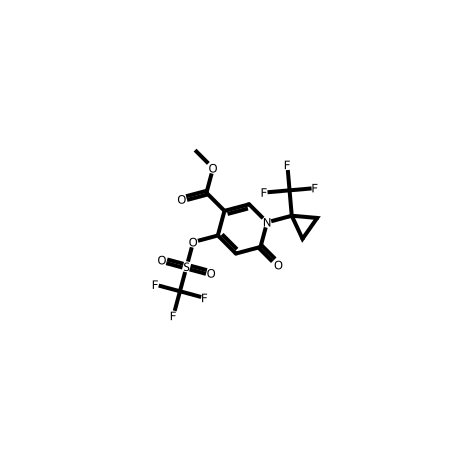 COC(=O)c1cn(C2(C(F)(F)F)CC2)c(=O)cc1OS(=O)(=O)C(F)(F)F